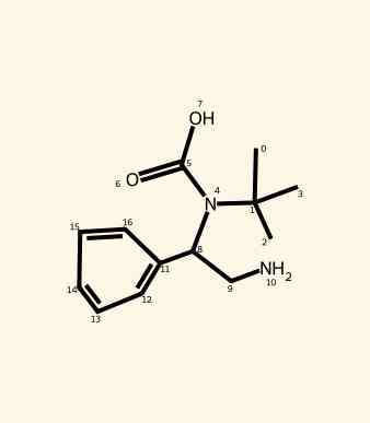 CC(C)(C)N(C(=O)O)C(CN)c1ccccc1